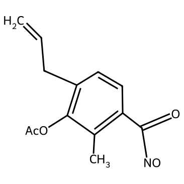 C=CCc1ccc(C(=O)N=O)c(C)c1OC(C)=O